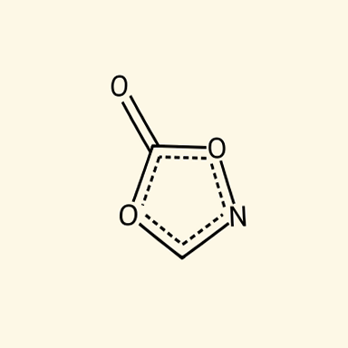 O=c1ocno1